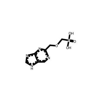 O=P(O)(O)COCc1ncc2[nH]cnc2n1